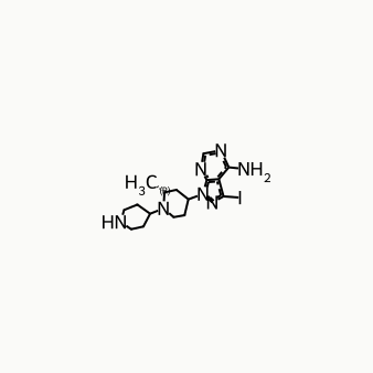 C[C@@H]1CC(n2nc(I)c3c(N)ncnc32)CCN1C1CCNCC1